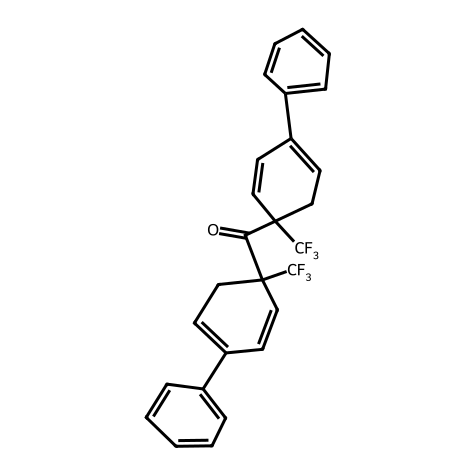 O=C(C1(C(F)(F)F)C=CC(c2ccccc2)=CC1)C1(C(F)(F)F)C=CC(c2ccccc2)=CC1